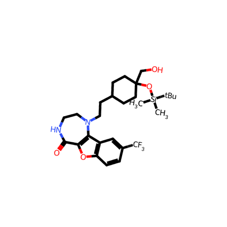 CC(C)(C)[Si](C)(C)OC1(CO)CCC(CCN2CCNC(=O)c3oc4ccc(C(F)(F)F)cc4c32)CC1